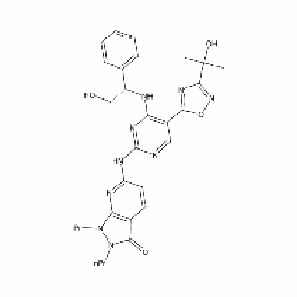 CCCn1c(=O)c2ccc(Nc3ncc(-c4nc(C(C)(C)O)no4)c(N[C@H](CO)c4ccccc4)n3)nc2n1C(C)C